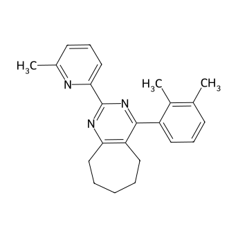 Cc1cccc(-c2nc3c(c(-c4cccc(C)c4C)n2)CCCCC3)n1